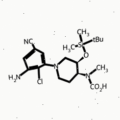 CN(C(=O)O)[C@H]1CCN(c2cc(C#N)cc(N)c2Cl)C[C@H]1O[Si](C)(C)C(C)(C)C